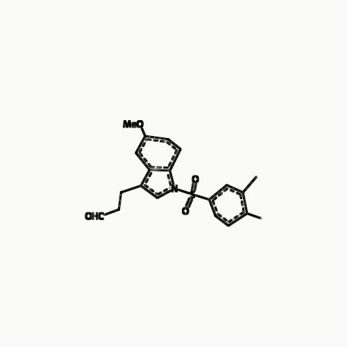 COc1ccc2c(c1)c(CCC=O)cn2S(=O)(=O)c1ccc(C)c(C)c1